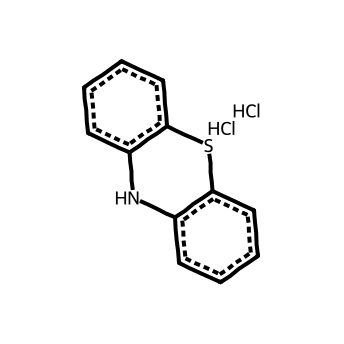 Cl.Cl.c1ccc2c(c1)Nc1ccccc1S2